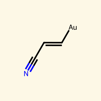 N#CC=[CH][Au]